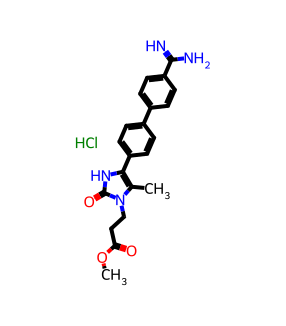 COC(=O)CCn1c(C)c(-c2ccc(-c3ccc(C(=N)N)cc3)cc2)[nH]c1=O.Cl